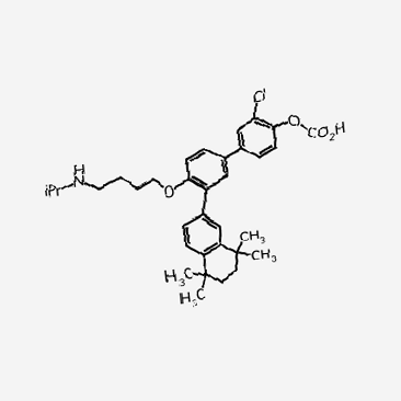 CC(C)NCCCCOc1ccc(-c2ccc(OC(=O)O)c(Cl)c2)cc1-c1ccc2c(c1)C(C)(C)CCC2(C)C